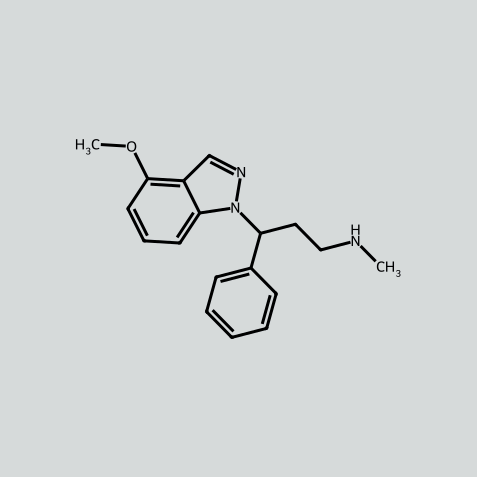 CNCCC(c1ccccc1)n1ncc2c(OC)cccc21